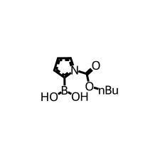 CCCCOC(=O)n1cccc1B(O)O